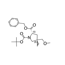 COC[C@@]1(F)C[C@@H](C(=O)OCc2ccccc2)N(C(=O)OC(C)(C)C)C1